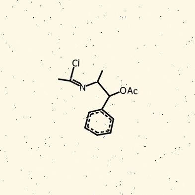 CC(=O)OC(c1ccccc1)C(C)N=C(C)Cl